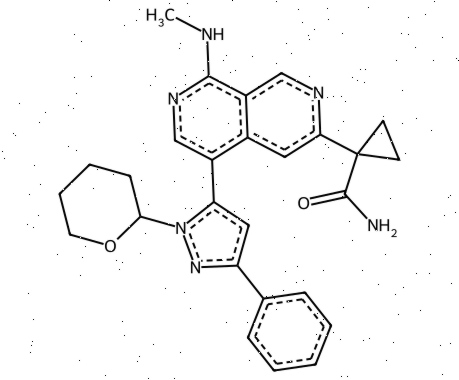 CNc1ncc(-c2cc(-c3ccccc3)nn2C2CCCCO2)c2cc(C3(C(N)=O)CC3)ncc12